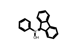 O[N+](=C1c2ccccc2-c2ccccc21)c1ccccc1